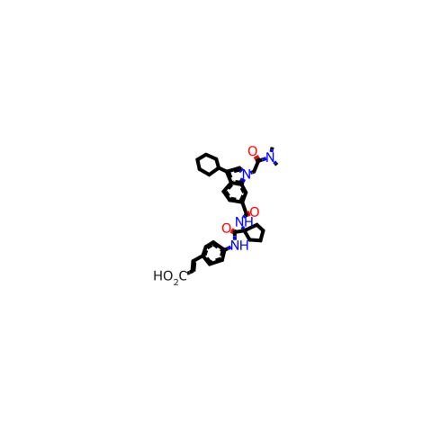 CN(C)C(=O)Cn1cc(C2CCCCC2)c2ccc(C(=O)NC3(C(=O)Nc4ccc(C=CC(=O)O)cc4)CCCC3)cc21